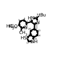 Cc1cccc(-c2[nH]c(C(C)(C)C)nc2-c2ccc3[nH]c[siH]c3c2)n1.Cl.O